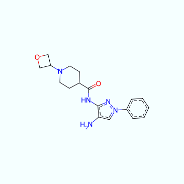 Nc1cn(-c2ccccc2)nc1NC(=O)C1CCN(C2COC2)CC1